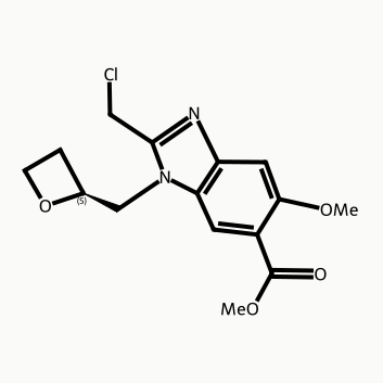 COC(=O)c1cc2c(cc1OC)nc(CCl)n2C[C@@H]1CCO1